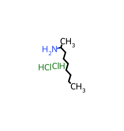 CCCCCCCC(C)N.Cl.Cl